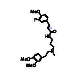 COc1ccc(/C=C/C(=O)NCCCN(C)CCc2ccc(OC)c(OC)c2)cc1F